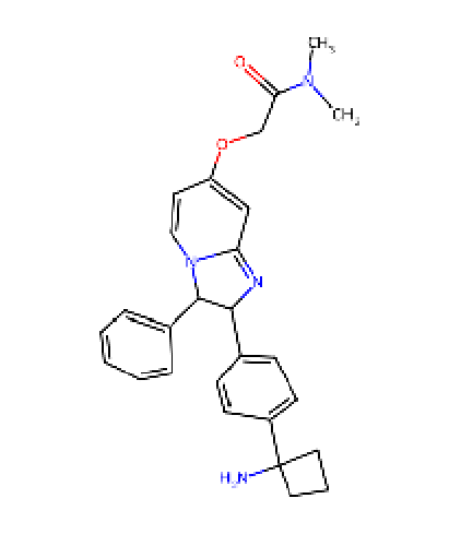 CN(C)C(=O)COC1=CC2=NC(c3ccc(C4(N)CCC4)cc3)C(c3ccccc3)N2C=C1